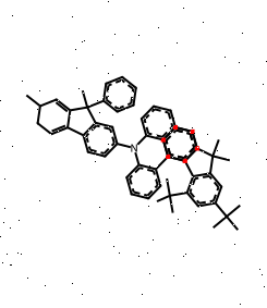 CC1C=C2C(=CC1)c1ccc(N(c3ccccc3-c3cccc4c3-c3c(C(C)(C)C)cc(C(C)(C)C)cc3C4(C)C)c3cccc4ccccc34)cc1C2(C)c1ccccc1